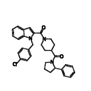 O=C(c1cc2ccccc2n1Cc1ccc(Cl)cc1)N1CCC(C(=O)N2CCCC2c2ccccc2)CC1